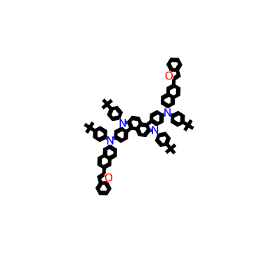 CC(C)(C)c1ccc(N(c2ccc3cc(-c4cc5ccccc5o4)ccc3c2)c2ccc3c4c5ccc6c(c5ccc4n(-c4ccc(C(C)(C)C)cc4)c3c2)c2ccc(N(c3ccc(C(C)(C)C)cc3)c3ccc4cc(-c5cc7ccccc7o5)ccc4c3)cc2n6-c2ccc(C(C)(C)C)cc2)cc1